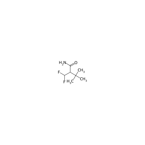 CC(C)(C)C(C(N)=O)C(F)F